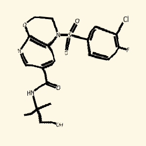 CC(C)(CO)NC(=O)c1cnc2c(c1)N(S(=O)(=O)c1ccc(F)c(Cl)c1)CCO2